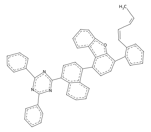 C/C=C\C=C/c1ccccc1-c1ccc(-c2ccc(-c3nc(-c4ccccc4)nc(-c4ccccc4)n3)c3ccccc23)c2c1oc1ccccc12